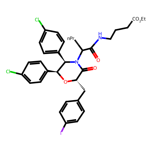 CCCC(C(=O)NCCCC(=O)OCC)N1C(=O)[C@H](Cc2ccc(I)cc2)O[C@@H](c2ccc(Cl)cc2)[C@H]1c1ccc(Cl)cc1